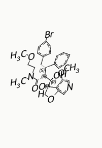 COCCN(C)C(=O)[C@H]([C@H](Cc1ccc(Br)cc1)c1ccccc1)[C@@H](O)[C@]1(O)COc2cncc(OC)c21